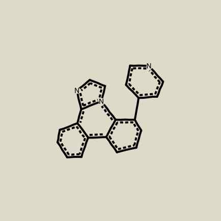 c1ccc2c(c1)c1cccc(-c3ccncc3)c1n1ccnc21